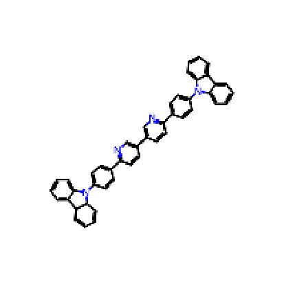 C1=CC2c3ccccc3N(c3ccc(-c4ccc(-c5ccc(-c6ccc(-n7c8ccccc8c8ccccc87)cc6)nc5)cn4)cc3)C2C=C1